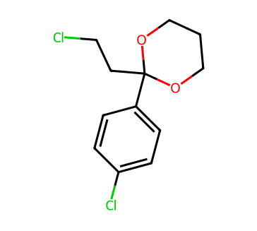 ClCCC1(c2ccc(Cl)cc2)OCCCO1